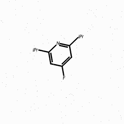 CC(C)c1cc(F)cc(C(C)C)n1